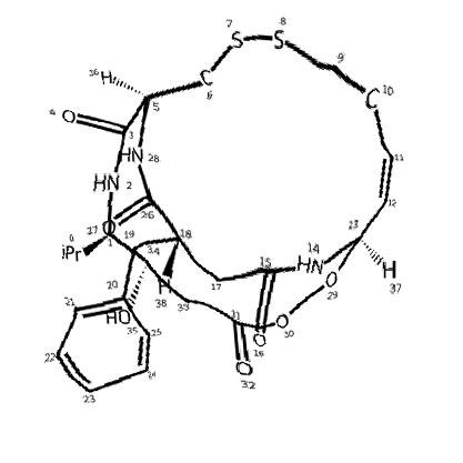 CC(C)[C@H]1NC(=O)[C@H]2CSSCCC=C[C@H](NC(=O)C[C@H](Cc3ccccc3)C(=O)N2)OOC(=O)C[C@@H]1O